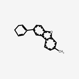 Cc1ccc2c(c1)oc1ccc(C3=CCCC=C3)cc12